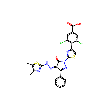 Cc1nc(N/N=C2\C(=O)N(c3nc(-c4c(Cl)cc(C(=O)O)cc4Cl)cs3)N=C2c2ccccc2)sc1C